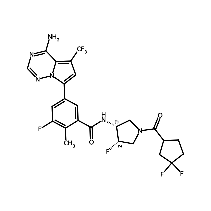 Cc1c(F)cc(-c2cc(C(F)(F)F)c3c(N)ncnn23)cc1C(=O)N[C@@H]1CN(C(=O)C2CCC(F)(F)C2)C[C@@H]1F